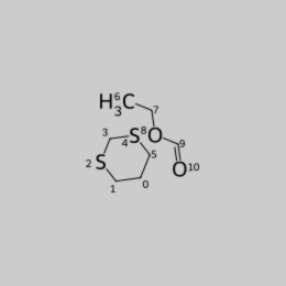 C1CSCSC1.CCOC=O